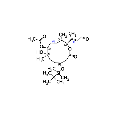 CC(=O)O[C@H]1/C=C/[C@H](C)[C@@H](/C(C)=C/C=O)OC(=O)C[C@H](O[Si](C)(C)C(C)(C)C)CC[C@@]1(C)O